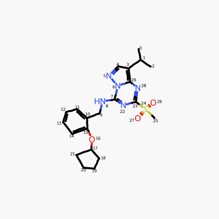 CC(C)c1cnn2c(NCc3ccccc3OC3CCCC3)nc(S(C)(=O)=O)nc12